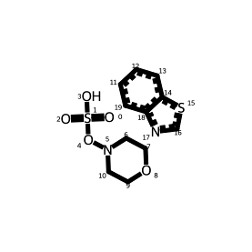 O=S(=O)(O)ON1CCOCC1.c1ccc2scnc2c1